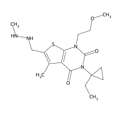 CCC1(n2c(=O)c3c(C)c(CNNC)sc3n(CCOC)c2=O)CC1